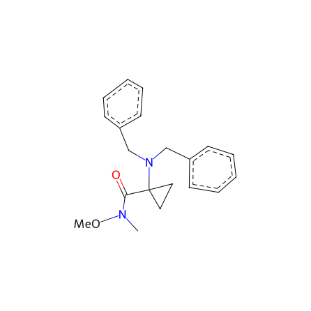 CON(C)C(=O)C1(N(Cc2ccccc2)Cc2ccccc2)CC1